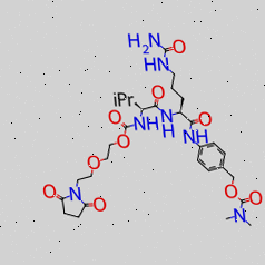 CC(C)[C@H](NC(=O)OCCOCCN1C(=O)CCC1=O)C(=O)N[C@@H](CCCNC(N)=O)C(=O)Nc1ccc(COC(=O)N(C)C)cc1